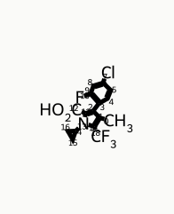 Cc1c(-c2ccc(Cl)cc2F)c(C(=O)O)n(C2CC2)c1C(F)(F)F